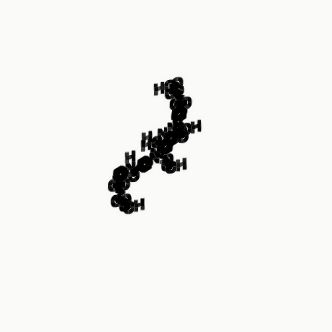 Nc1c(/N=N/c2ccc(S(=O)(=O)CCOS(=O)(=O)O)cc2)c(S(=O)(=O)O)cc2cc(SOOO)c(/N=N/c3ccc(C(=O)Nc4cccc(S(=O)(=O)CCS(=O)OOO)c4)cc3)c(O)c12